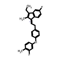 CCC1=C(C)/C(=C/Cc2ccc(Oc3ccc(C)c(F)c3)cc2)c2ccc(F)cc21